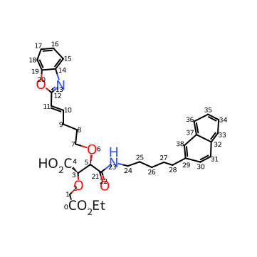 CCOC(=O)CO[C@@H](C(=O)O)[C@@H](OCCC/C=C/c1nc2ccccc2o1)C(=O)NCCCCCc1ccc2ccccc2c1